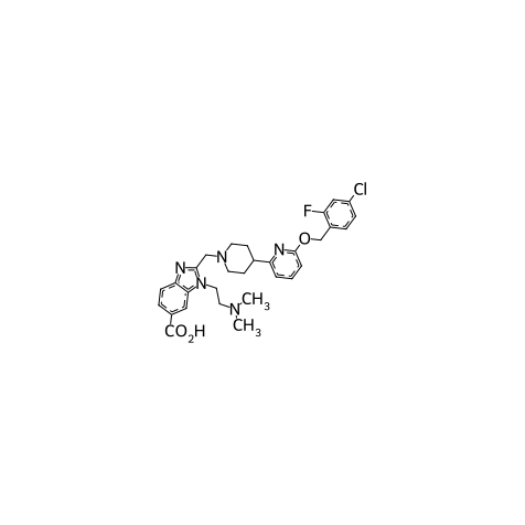 CN(C)CCn1c(CN2CCC(c3cccc(OCc4ccc(Cl)cc4F)n3)CC2)nc2ccc(C(=O)O)cc21